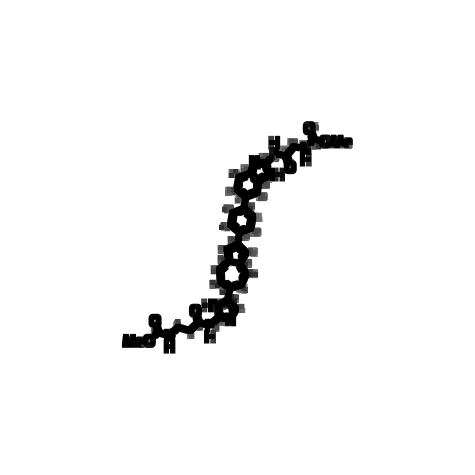 COC(=O)NCCC(=O)Pc1ncc(-c2ccc3cc(-c4ccc(-c5ccc6nc(PC(=O)CNC(=O)OC)[nH]c6c5)cc4)cc-3cc2)[nH]1